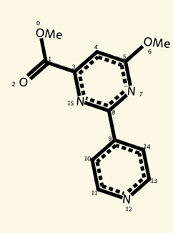 COC(=O)c1cc(OC)nc(-c2ccncc2)n1